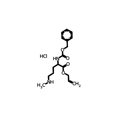 C=CCOC(=O)C(CCCNC)NC(=O)OCc1ccccc1.Cl